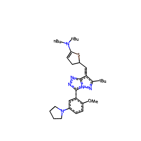 CCCCN(CCCC)C1=CCC(/C=c2/c(C(C)(C)C)nn3c(-c4cc(N5CCCC5)ccc4OC)nnc23)S1